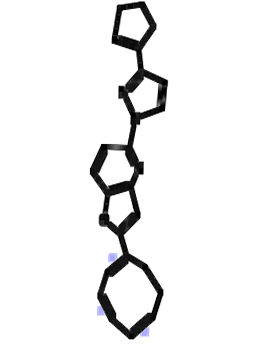 C1=C(c2ccn(-c3ccc4oc(/C5=C/C=C\C=C/CC5)cc4n3)n2)CCC1